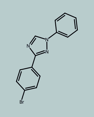 Brc1ccc(-c2ncn(-c3ccccc3)n2)cc1